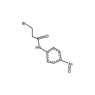 O=[As]c1ccc(NC(=O)CCBr)cc1